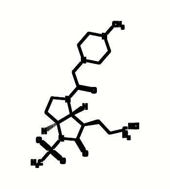 CCC[C@H]1C(=O)N(S(C)(=O)=O)[C@H]2CCN(C(=O)CN3CCN(C)CC3)[C@H]12.Cl